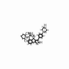 CC1CCCC(C)N1N(C(N)=O)c1cccc2c1C(=O)c1c-2n[nH]c1-c1ccc(N2CCNCC2)cc1